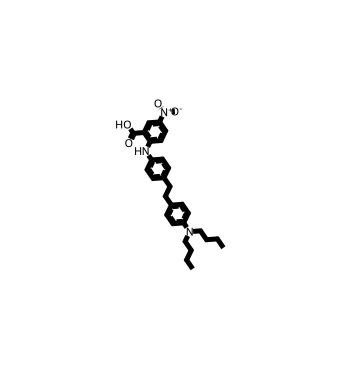 CCCCN(CCCC)c1ccc(CCc2ccc(Nc3ccc([N+](=O)[O-])cc3C(=O)O)cc2)cc1